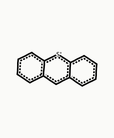 c1ccc2[s+]c3ccccc3cc2c1